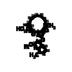 CCOc1cc(OC2CC3C(=O)NC4(C(=O)O)CC4/C=C\CCCCN(C)C(=O)C3C2)c2cccc(C)c2n1